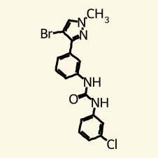 Cn1cc(Br)c(-c2cccc(NC(=O)Nc3cccc(Cl)c3)c2)n1